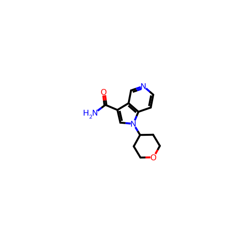 NC(=O)c1cn(C2CCOCC2)c2ccncc12